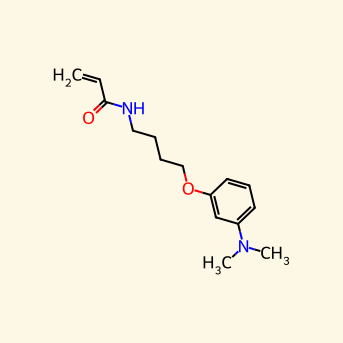 C=CC(=O)NCCCCOc1cccc(N(C)C)c1